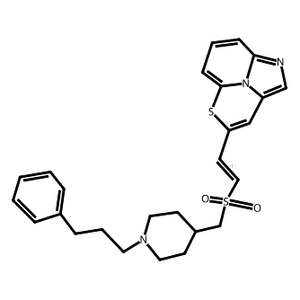 O=S(=O)(/C=C/C1=Cc2cnc3cccc(n23)S1)CC1CCN(CCCc2ccccc2)CC1